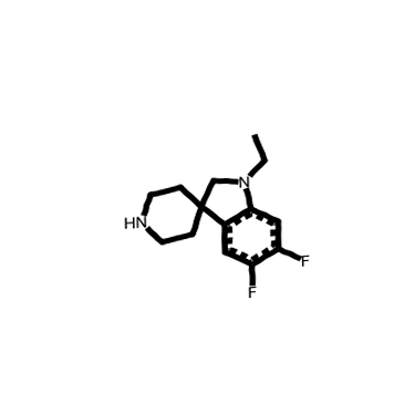 CCN1CC2(CCNCC2)c2cc(F)c(F)cc21